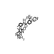 Cc1ccc(NC(=O)c2ccc(N3CCN(C)CC3)c(C(F)(F)F)c2)cc1-n1c(C)c2cnc(N)nc2nc1=O